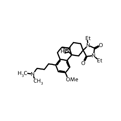 CCN1C(=O)N(CC)C2(CCC3(O)C4Cc5c(CCCN(C)C)cc(OC)cc5C3(CCN4)C2)C1=O